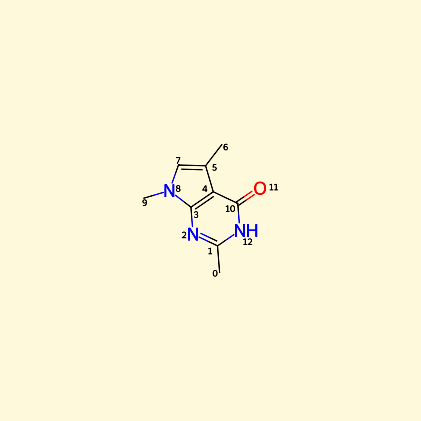 Cc1nc2c(c(C)cn2C)c(=O)[nH]1